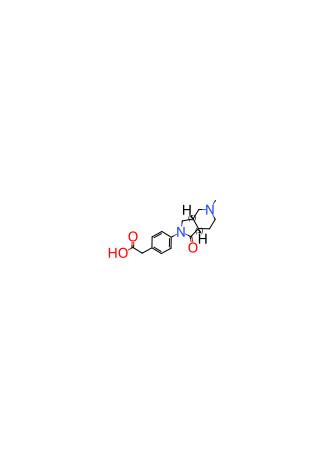 CN1CC[C@@H]2C(=O)N(c3ccc(CC(=O)O)cc3)C[C@@H]2C1